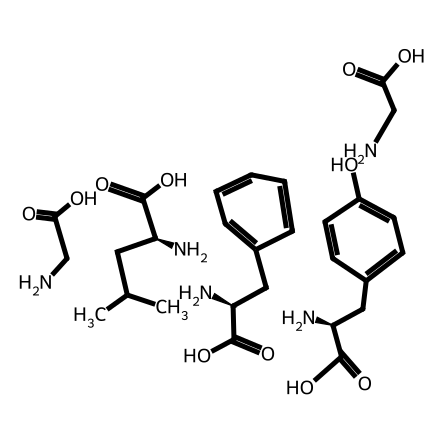 CC(C)C[C@H](N)C(=O)O.NCC(=O)O.NCC(=O)O.N[C@@H](Cc1ccc(O)cc1)C(=O)O.N[C@@H](Cc1ccccc1)C(=O)O